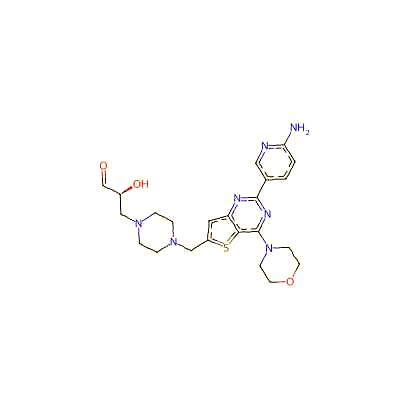 Nc1ccc(-c2nc(N3CCOCC3)c3sc(CN4CCN(C[C@H](O)C=O)CC4)cc3n2)cn1